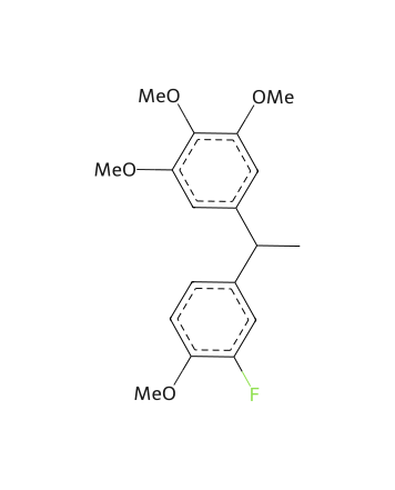 COc1ccc(C(C)c2cc(OC)c(OC)c(OC)c2)cc1F